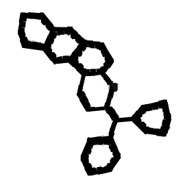 C1=Cc2c(ccc3cc4ccccc4cc23)OC1=C(c1ccccc1)c1ccccc1